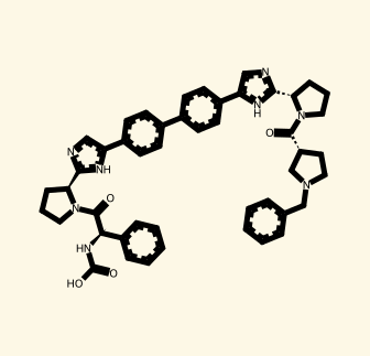 O=C(O)N[C@@H](C(=O)N1CCC[C@H]1c1ncc(-c2ccc(-c3ccc(-c4cnc([C@@H]5CCCN5C(=O)[C@@H]5CCN(Cc6ccccc6)C5)[nH]4)cc3)cc2)[nH]1)c1ccccc1